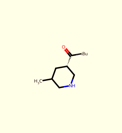 CCC(C)C(=O)[C@@H]1CNCC(C)C1